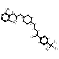 Cc1cccc(C)c1NC(=O)CN1CCN(CCCC(O)c2ccc(C(C)(C)C)cc2)CC1